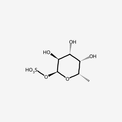 C[C@@H]1O[C@@H](OS(=O)(=O)O)[C@@H](O)[C@H](O)[C@@H]1O